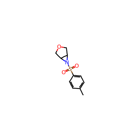 Cc1ccc(S(=O)(=O)N2C3COCC32)cc1